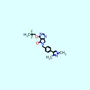 Cc1nn(C)cc1-c1ccc(CN2Cc3ncnc(OCC(C)(F)F)c3C2=O)cc1